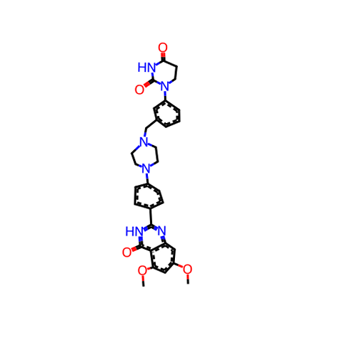 COc1cc(OC)c2c(=O)[nH]c(-c3ccc(N4CCN(Cc5cccc(N6CCC(=O)NC6=O)c5)CC4)cc3)nc2c1